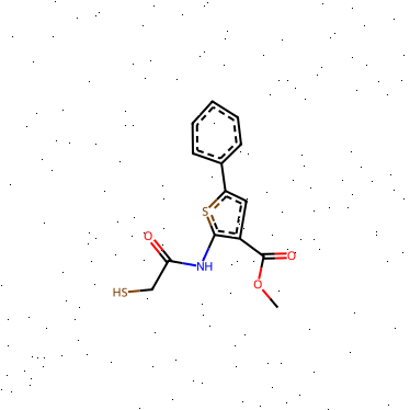 COC(=O)c1cc(-c2ccccc2)sc1NC(=O)CS